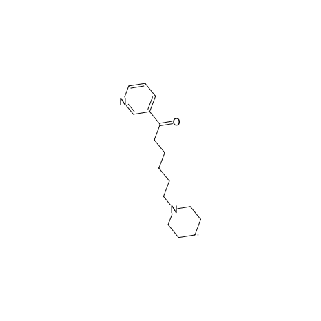 O=C(CCCCCN1CC[CH]CC1)c1cccnc1